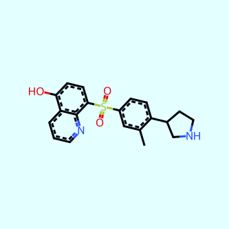 Cc1cc(S(=O)(=O)c2ccc(O)c3cccnc23)ccc1C1CCNC1